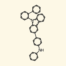 c1ccc(Nc2ccc(-c3ccc4c(c3)c3ccccc3n4-c3ccccc3-c3ccccc3)cc2)cc1